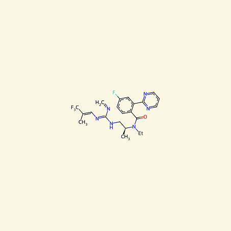 C=N/C(=N\C=C(/C)C(F)(F)F)NC[C@H](C)N(CC)C(=O)c1ccc(F)cc1-c1ncccn1